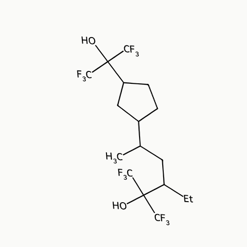 CCC(CC(C)C1CCC(C(O)(C(F)(F)F)C(F)(F)F)C1)C(O)(C(F)(F)F)C(F)(F)F